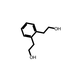 OCCc1ccccc1CCO